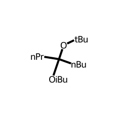 [CH2]CCC(CCCC)(OCC(C)C)OC(C)(C)C